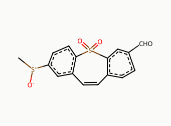 C[S+]([O-])c1ccc2c(c1)C=Cc1ccc(C=O)cc1S2(=O)=O